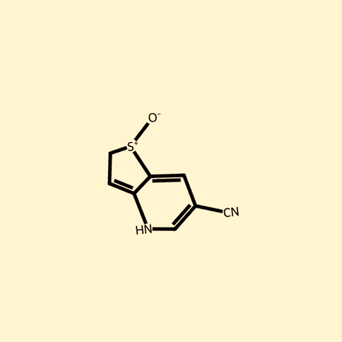 N#CC1=CNC2=CC[S+]([O-])C2=C1